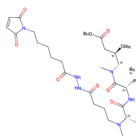 CC[C@H](C)[C@@H]([C@@H](CC(=O)OCC(C)C)OC)N(C)C(=O)[C@@H](NC(=O)[C@H](C(C)C)N(C)CCCC(=O)NNC(=O)CCCCCN1C(=O)C=CC1=O)C(C)C